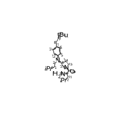 CC(C)CCN(c1ccc(CCC(C)(C)C)cc1)C1CCN(C(=O)C(N)CC(C)C)C1